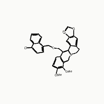 COc1ccc2c(c1OC)CN1CCc3cc4c(cc3C1C2CCCc1ccc(Cl)c2ccccc12)OCO4